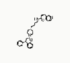 O=C(/C=C\c1cccnc1)NCCCCC1CCN(C(=O)CC(c2ccccc2)c2ccccc2)CC1